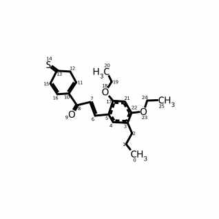 CCCc1cc(C=CC(=O)C2=CCC(=S)C=C2)c(OCC)cc1OCC